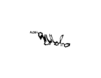 CC(=O)Nc1ccc(-c2ccnc(Nc3cccc(C(=O)NCc4ccccc4)c3)n2)cc1